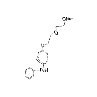 COCCOCCOc1ccc(Nc2ccccc2)cc1